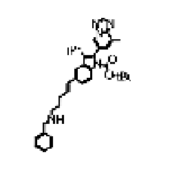 Cc1cc(-c2c(C(C)C)c3cc(/C=C/CCCNCc4ccccc4)ccc3n2C(=O)OC(C)(C)C)cn2ncnc12